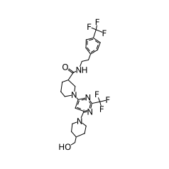 O=C(NCCc1ccc(C(F)(F)F)cc1)C1CCCN(c2cc(N3CCC(CO)CC3)nc(C(F)(F)F)n2)C1